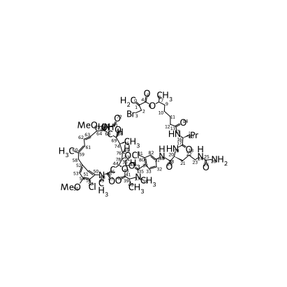 C=C(CBr)C(=O)OC(C)CCCCC(=O)N[C@H](C(=O)N[C@@H](CCCNC(N)=O)C(=O)Nc1ccc(C(=O)N(C)[C@@H](C)C(=O)O[C@H]2CC(=O)N(C)c3cc(cc(OC)c3Cl)C/C(C)=C/C=C/[C@@H](OC)[C@@]3(O)C[C@H](OC(=O)N3)[C@@H](C)[C@@H]3O[C@@]23C)c(Cl)c1)C(C)C